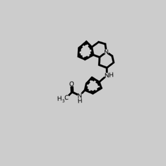 CC(=O)Nc1ccc(NC2CCN3CCc4ccccc4C3C2)cc1